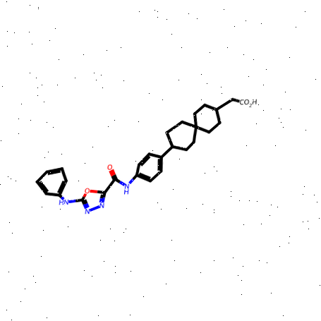 O=C(O)CC1CCC2(CC1)CCC(c1ccc(NC(=O)c3nnc(Nc4ccccc4)o3)cc1)CC2